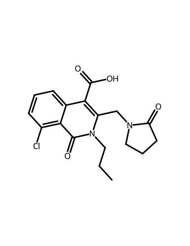 CCCn1c(CN2CCCC2=O)c(C(=O)O)c2cccc(Cl)c2c1=O